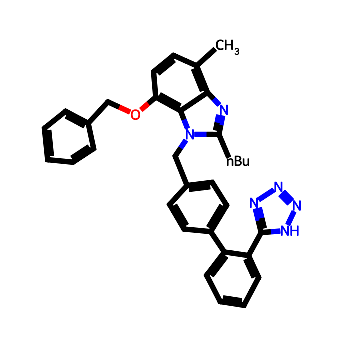 CCCCc1nc2c(C)ccc(OCc3ccccc3)c2n1Cc1ccc(-c2ccccc2-c2nnn[nH]2)cc1